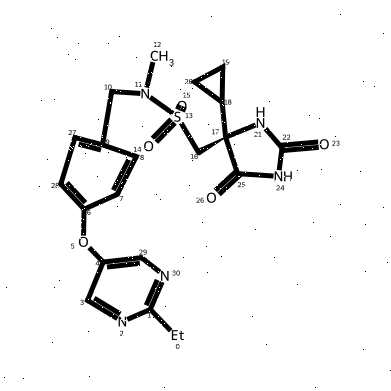 CCc1ncc(Oc2ccc(CN(C)S(=O)(=O)C[C@@]3(C4CC4)NC(=O)NC3=O)cc2)cn1